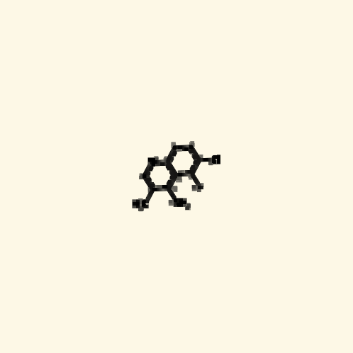 Cc1cnc2ccc(Cl)c(F)c2c1N